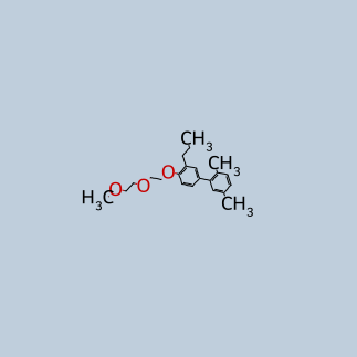 CCCc1cc(-c2cc(C)ccc2C)ccc1OCCOCCOC